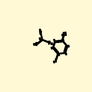 Clc1ccc(I)cc1.FC(F)F